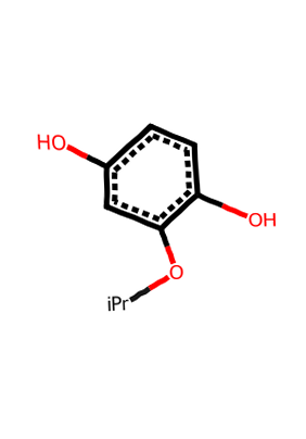 CC(C)Oc1cc(O)ccc1O